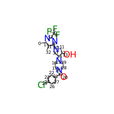 Cc1nc(C(F)(F)F)nc(N2CC(O)C(N3CCN(C(=O)c4ccc(Cl)cc4)CC3)C2)c1C